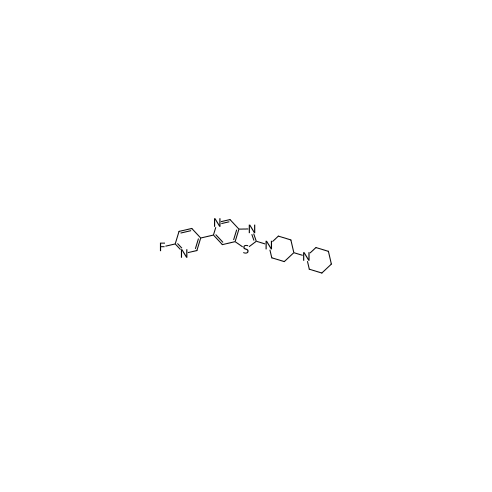 Fc1ccc(-c2cc3sc(N4CCC(N5CCCCC5)CC4)nc3cn2)cn1